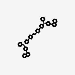 C(=C\c1ccc(-c2ccc(N(c3ccccc3)c3ccc(-c4cccc5ccccc45)cc3)cc2)cc1)/c1ccc(-c2ccc(N(c3ccccc3)c3ccc(-c4cccc5ccccc45)cc3)cc2)cc1